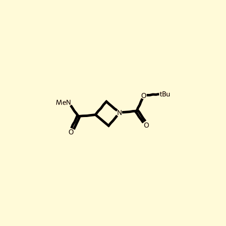 CNC(=O)C1CN(C(=O)OC(C)(C)C)C1